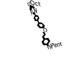 CCCCCCCCc1cnc(-c2ccc(-c3ccc(OCCCC4CCC(CCCCC)CC4)cc3)cc2)nc1